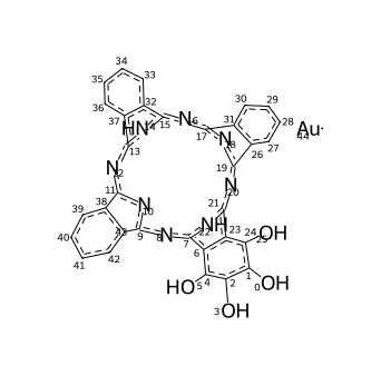 Oc1c(O)c(O)c2c3nc4nc(nc5[nH]c(nc6nc(nc([nH]3)c2c1O)-c1ccccc1-6)c1ccccc51)-c1ccccc1-4.[Au]